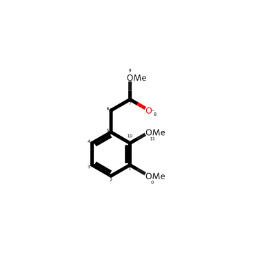 COc1cccc(CC([O])OC)c1OC